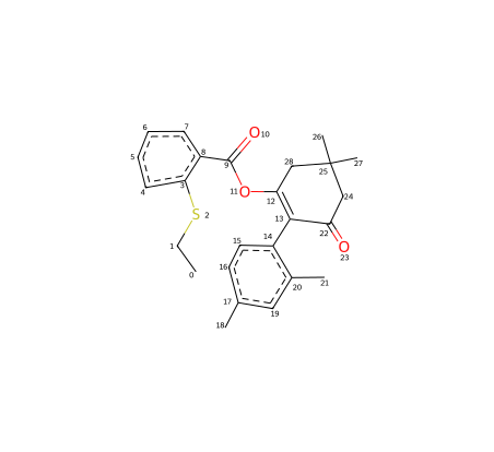 CCSc1ccccc1C(=O)OC1=C(c2ccc(C)cc2C)C(=O)CC(C)(C)C1